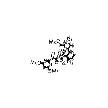 COCC(=O)OC(c1nccc(C)c1S(=O)(=O)NC(=O)Nc1nc(OC)cc(OC)n1)C(C)F